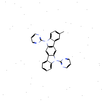 Cc1ccc2c(c1)c1cc3c(cc1n2-c1ncccn1)c1ccccc1n3-c1ncccn1